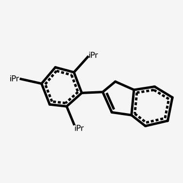 CC(C)c1cc(C(C)C)c(C2=Cc3ccccc3C2)c(C(C)C)c1